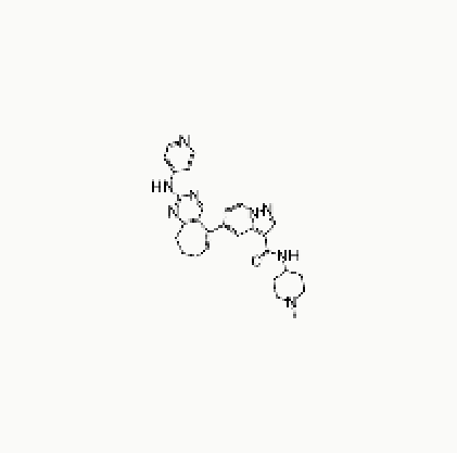 CN1CCC(NC(=O)c2cnn3ccc(C4=CCCCc5nc(Nc6ccncc6)ncc54)cc23)CC1